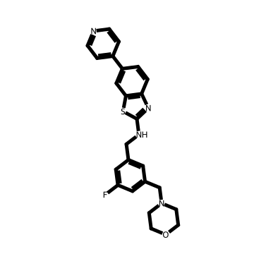 Fc1cc(CNc2nc3ccc(-c4ccncc4)cc3s2)cc(CN2CCOCC2)c1